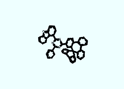 c1ccc2c(c#1)oc1cccc(-c3nc(-c4ccccc4)nc(-c4ccc5c(c4)C4(c6ccccc6-c6ccccc6-5)c5ccccc5-c5ccccc54)n3)c12